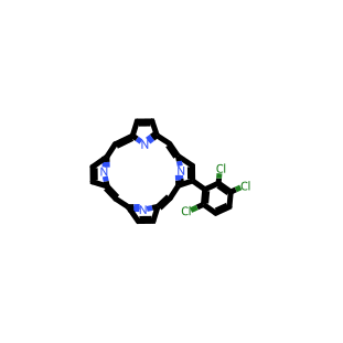 Clc1ccc(Cl)c(C2=CC3=CC4=NC(=CC5=NC(=CC6=NC(=CC2=N3)C=C6)C=C5)C=C4)c1Cl